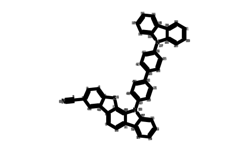 N#Cc1ccc2sc3c(ccc4c5ccccc5n(-c5ccc(-c6ccc(-n7c8ccccc8c8ccccc87)cc6)cc5)c43)c2c1